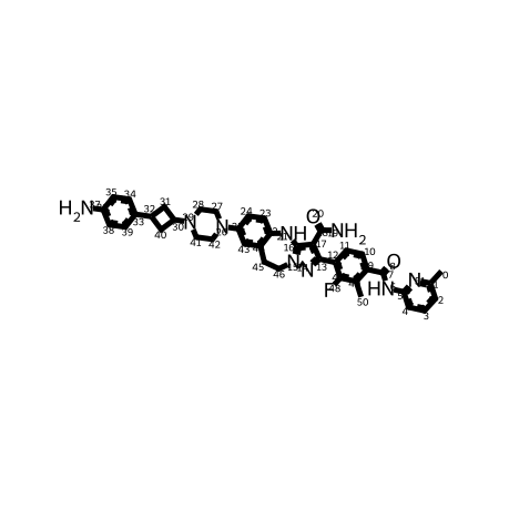 Cc1cccc(NC(=O)c2ccc(-c3nn4c(c3C(N)=O)Nc3ccc(N5CCN(C6CC(c7ccc(N)cc7)C6)CC5)cc3CC4)c(F)c2C)n1